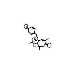 COc1ccc(COC2C=C(C)C(=O)CC(C)(C)C2OC(C)=O)cc1